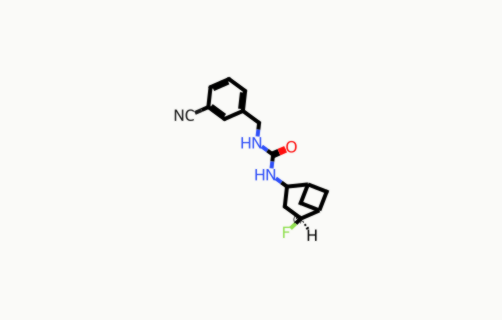 N#Cc1cccc(CNC(=O)NC2C[C@H](F)C3CC2C3)c1